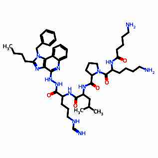 CCCCc1nc2c(NNC(=O)C(CCCNC=N)NC(=O)C(CC(C)C)NC(=O)C3CCCN3C(=O)C(CCCCN)NC(=O)CCCCN)nc3ccccc3c2n1Cc1ccccc1